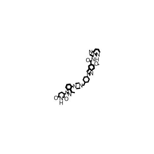 COc1cc2nn(C3CCC(CN4CCN(c5cccc6c5c(C)nn6C5CCC(=O)NC5=O)CC4)CC3)cc2cc1C(=O)Nc1cnc2cccnn12